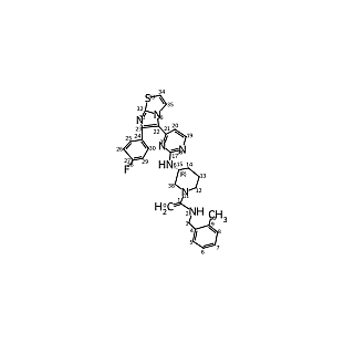 C=C(NCc1ccccc1C)N1CCC[C@@H](Nc2nccc(-c3c(-c4ccc(F)cc4)nc4sccn34)n2)C1